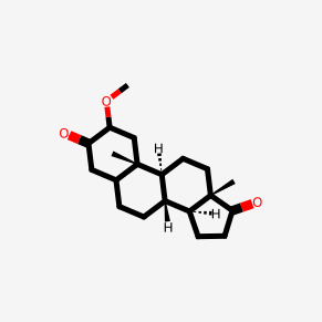 COC1C[C@@]2(C)C(CC[C@@H]3[C@@H]2CC[C@]2(C)C(=O)CC[C@@H]32)CC1=O